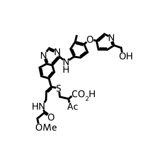 COCC(=O)NC/C=C(\SCC(C(C)=O)C(=O)O)c1ccc2ncnc(Nc3ccc(Oc4ccc(CO)nc4)c(C)c3)c2c1